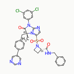 C[C@@]1(Cc2ccc(-c3cncnc3)cc2)C(=O)N(c2cc(Cl)cc(Cl)c2)c2ncc(S(=O)(=O)N3CC[C@H]3C(=O)NCc3ccccc3)n21